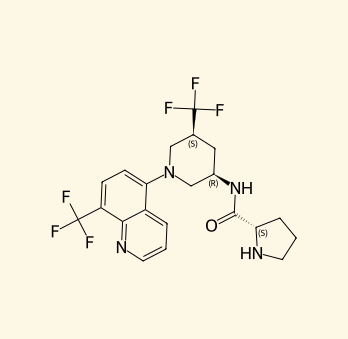 O=C(N[C@@H]1C[C@H](C(F)(F)F)CN(c2ccc(C(F)(F)F)c3ncccc23)C1)[C@@H]1CCCN1